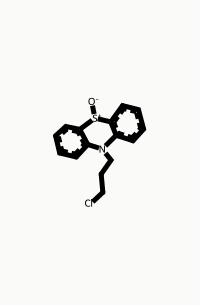 [O-][S+]1c2ccccc2N(CCCCl)c2ccccc21